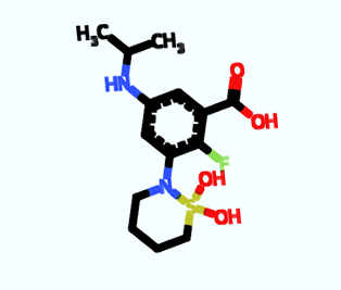 CC(C)Nc1cc(C(=O)O)c(F)c(N2CCCCS2(O)O)c1